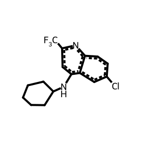 FC(F)(F)c1cc(NC2CCCCC2)c2cc(Cl)ccc2n1